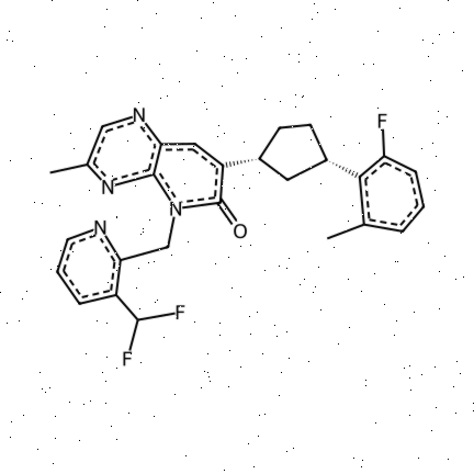 Cc1cnc2cc([C@@H]3CC[C@H](c4c(C)cccc4F)C3)c(=O)n(Cc3ncccc3C(F)F)c2n1